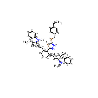 C=Cc1ccc(CSc2nnc(C3=C(/C=C/C4=[N+](C)c5ccccc5C4(C)C)CCC/C3=C\C=C3\N(C)c4ccccc4C3(C)C)s2)cc1